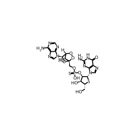 Nc1nc2c(ncn2[C@@H]2S[C@H](CO)[C@@H](O)[C@H]2OP(O)(=S)OC[C@@]23OO[C@@H]([C@H](n4cnc5c(N)ncnc54)O2)[C@@H]3O)c(=O)[nH]1